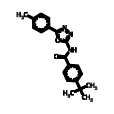 Cc1ccc(-c2nnc(NC(=O)c3ccc(C(C)(C)C)cc3)o2)cc1